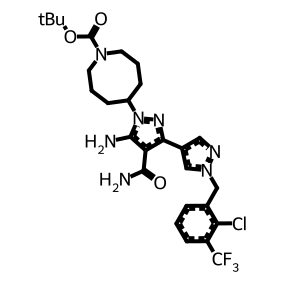 CC(C)(C)OC(=O)N1CCCC(n2nc(-c3cnn(Cc4cccc(C(F)(F)F)c4Cl)c3)c(C(N)=O)c2N)CCC1